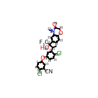 CC(c1cc(Oc2ccc(Cl)c(C#N)c2)ccc1Cl)C(O)(c1ccc2c(c1)N(C)C(=O)CO2)C(F)(F)F